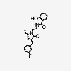 O=C(NCCN1C(=O)/C(=C/c2cccc(F)c2)SC1=S)c1ccccc1O